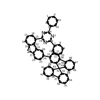 c1ccc(-c2nc(-c3ccccc3)nc(-c3cccc4sc5ccc(-c6ccc7c(c6)C6(c8ccccc8-c8ccccc86)c6ccccc6-7)cc5c34)n2)cc1